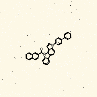 O=C(c1ccc2ccccc2c1)n1c2ccccc2c2ccc3c(ccn3-c3ccc(-c4ccccc4)cc3)c21